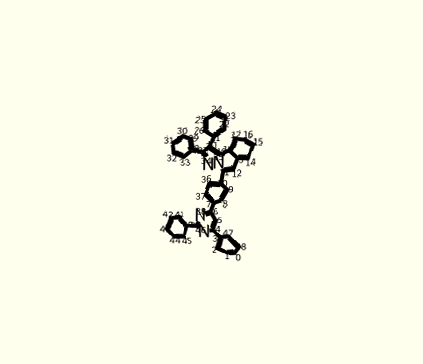 c1ccc(-c2cc(-c3ccc(-c4cc5ccccc5c5c(-c6ccccc6)c(-c6ccccc6)nn45)cc3)nc(-c3ccccc3)n2)cc1